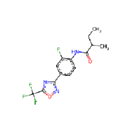 CCC(C)C(=O)Nc1ccc(-c2noc(C(F)(F)F)n2)cc1F